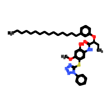 CCCCCCCCCCCCCCCc1cccc(OC(CC)C(=O)Nc2cc(Sc3nnnn3-c3ccccc3)c(OC)cc2O)c1